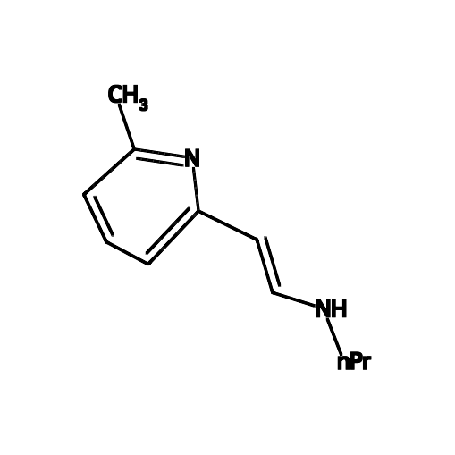 CCCN/C=C/c1cccc(C)n1